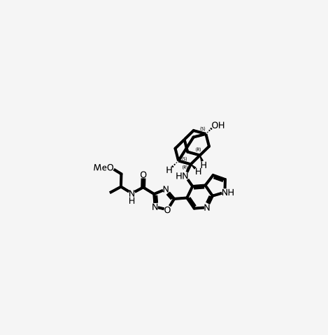 COCC(C)NC(=O)c1noc(-c2cnc3[nH]ccc3c2N[C@H]2[C@@H]3CC4C[C@H]2C[C@@](O)(C4)C3)n1